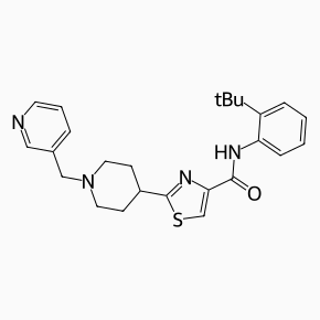 CC(C)(C)c1ccccc1NC(=O)c1csc(C2CCN(Cc3cccnc3)CC2)n1